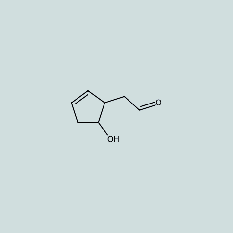 O=CCC1C=CCC1O